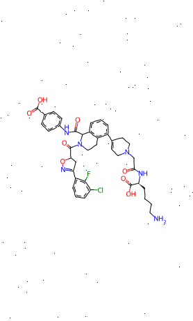 NCCCC[C@H](NC(=O)CN1CC=C(c2cccc3c2CCN(C(=O)C2CC(c4cccc(Cl)c4F)=NO2)C3C(=O)Nc2ccc(C(=O)O)cc2)CC1)C(=O)O